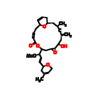 C=C1CC(C)CC2CC=CC(CC#CC(=O)OC(C(C=CC3CC(C)=CCO3)OC)CC3OC3C(O)C1)O2